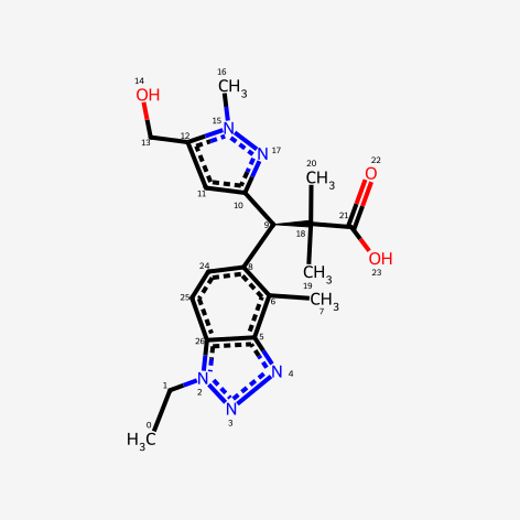 CCn1nnc2c(C)c([C@@H](c3cc(CO)n(C)n3)C(C)(C)C(=O)O)ccc21